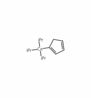 C[CH](C)[Ce]([C]1=CC=CC1)([CH](C)C)[CH](C)C